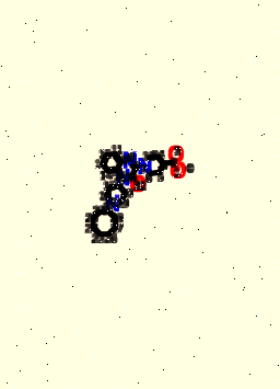 COC(=O)C1CCN(c2nc3ccccc3n(C3CCN(C4CCCCCCC4)CC3)c2=O)CC1